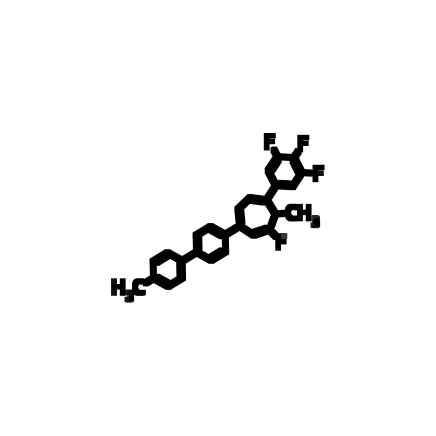 Cc1ccc(-c2ccc(C3=CC=C(c4cc(F)c(F)c(F)c4)C(C)C(F)=C3)cc2)cc1